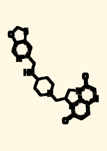 O=c1cnc2ccc(=O)n3c2n1CC3CN1CCC(NCc2cc3c(cn2)OCS3)CC1